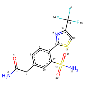 NC(=O)Cc1ccc(-c2nc(C(F)(F)F)cs2)c(S(N)(=O)=O)c1